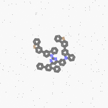 c1ccc(-c2ccc(-c3ccccc3)c(-c3cc(-c4cccc(-n5c6ccccc6c6cc(-c7ccc8sc9ccccc9c8c7)ccc65)c4)nc(-n4c5ccccc5c5cc(-c6ccc7sc8ccccc8c7c6)ccc54)n3)c2)cc1